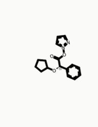 O=C(On1cccn1)[C@@H](OC1CCCC1)c1ccccc1